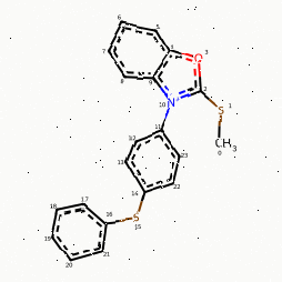 CSc1oc2ccccc2[n+]1-c1ccc(Sc2ccccc2)cc1